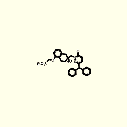 CCOC(=O)COc1cccc2c1CCC(O)(Cn1nc(C(c3ccccc3)c3ccccc3)ccc1=O)C2